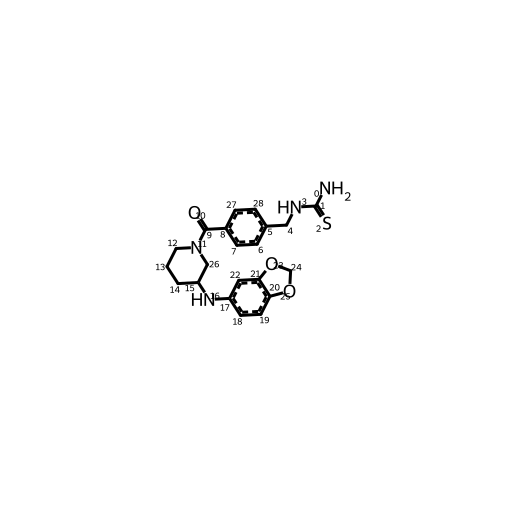 NC(=S)NCc1ccc(C(=O)N2CCCC(Nc3ccc4c(c3)OCO4)C2)cc1